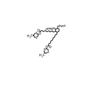 C=C1CSCC(OC(=O)CCCCCCCCC2CCC(CCCCC)C(CCCCCCC)C2CCCCCCCCC(=O)OC2CSCC(=C)CS2)SC1